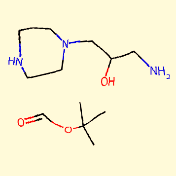 CC(C)(C)OC=O.NCC(O)CN1CCNCC1